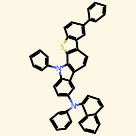 c1ccc(-c2ccc3sc4c(ccc5c6cc(N(c7ccccc7)c7cccc8ccccc78)ccc6n(-c6ccccc6)c54)c3c2)cc1